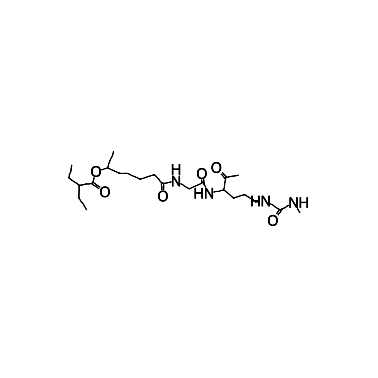 CCC(CC)C(=O)OC(C)CCCCC(=O)NCC(=O)NC(CCCNC(=O)NC)C(C)=O